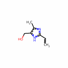 C=Cc1nc(C)c(CO)[nH]1